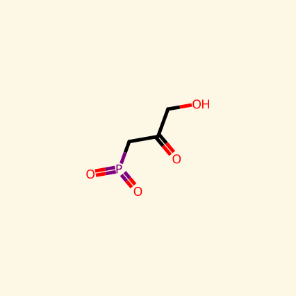 O=C(CO)CP(=O)=O